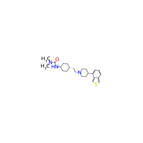 CN(C)C(=O)N[C@H]1CC[C@H](CCN2CCC(c3cccc4cscc34)CC2)CC1